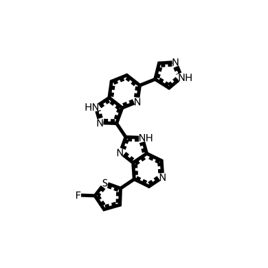 Fc1ccc(-c2cncc3[nH]c(-c4n[nH]c5ccc(-c6cn[nH]c6)nc45)nc23)s1